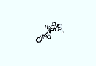 CC(C)(CC(=O)OCCCN1CCCCC1)N(Cl)Cl.Cl